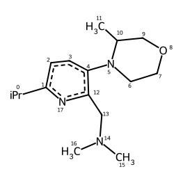 CC(C)c1ccc(N2CCOCC2C)c(CN(C)C)n1